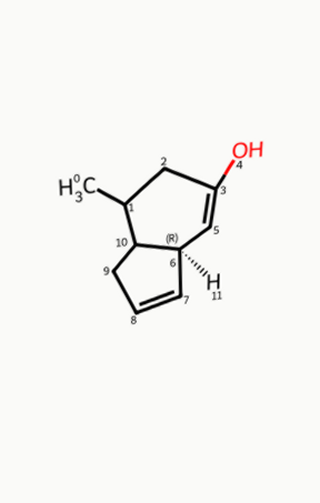 CC1CC(O)=C[C@H]2C=CCC12